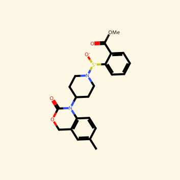 COC(=O)c1ccccc1[S+]([O-])N1CCC(N2C(=O)OCc3cc(C)ccc32)CC1